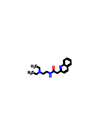 CCN(CC)CCNC(=O)Cc1ccc2ccccc2n1